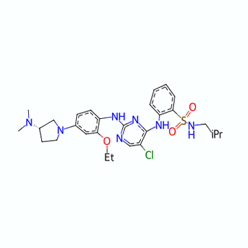 CCOc1cc(N2CC[C@H](N(C)C)C2)ccc1Nc1ncc(Cl)c(Nc2ccccc2S(=O)(=O)NCC(C)C)n1